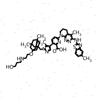 Cc1ccc2sc(Nc3nnc4c(c3C)CCCN4c3ccc(-c4cnn(CC56CC7(C)CC(C)(C5)CC(OCCNCCCO)(C7)C6)c4C)c(C(=O)O)n3)nc2c1